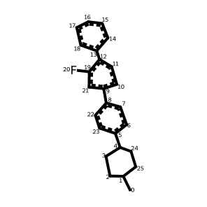 CC1CCC(c2ccc(-c3ccc(-c4ccccc4)c(F)c3)cc2)CC1